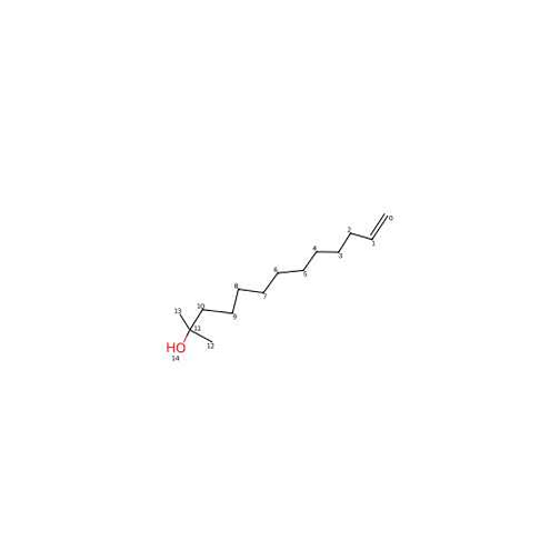 C=CCCCCCCCCCC(C)(C)O